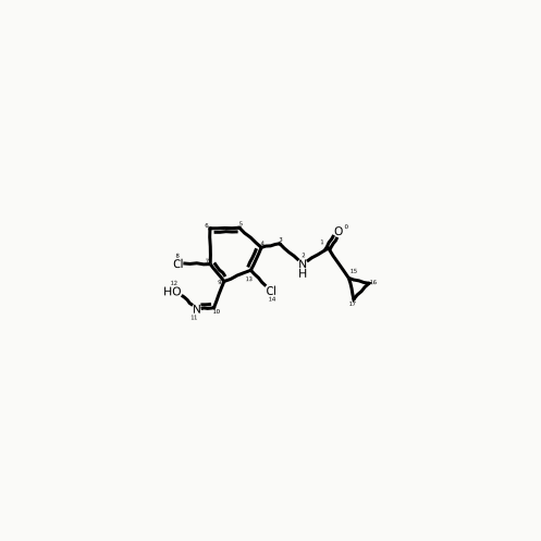 O=C(NCc1ccc(Cl)c(/C=N\O)c1Cl)C1CC1